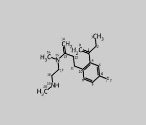 C=C(CC)c1cc(F)ccc1CCC(=C)N(C)CCNC